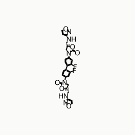 O=C1O[C@@H](CNc2ccon2)CN1c1ccc(-c2ccc(N3C[C@H](CNc4ccon4)OC3=O)cc2F)c(F)c1